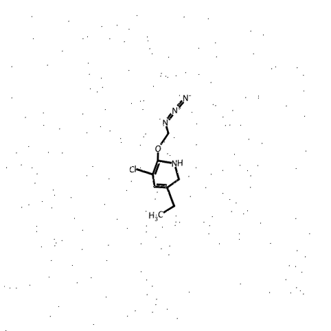 CCC1=CC(Cl)=C(OCN=[N+]=[N-])NC1